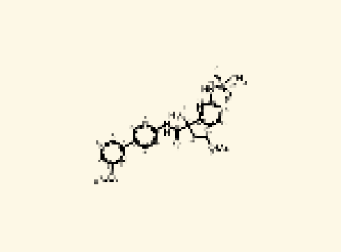 CCOc1cncc(-c2ccc(NC(=O)C(C)(CCOC)c3ccnc(NS(C)(=O)=O)n3)nc2)n1